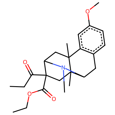 CCOC(=O)C1(C(=O)CC)CC2(C)C3Cc4ccc(OC)cc4C2(C)CC1N3C